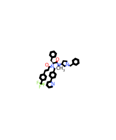 CN(C(=O)[C@H](Cc1ccccc1)N(Cc1ccc(-c2ccccn2)cc1)C(=O)C=Cc1ccc(C(F)(F)F)cc1)C1CCN(Cc2ccccc2)C1